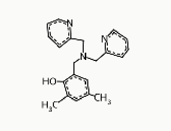 Cc1cc(C)c(O)c(CN(Cc2ccccn2)Cc2ccccn2)c1